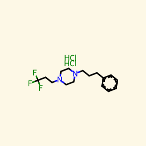 Cl.Cl.FC(F)(F)CCN1CCN(CCCc2ccccc2)CC1